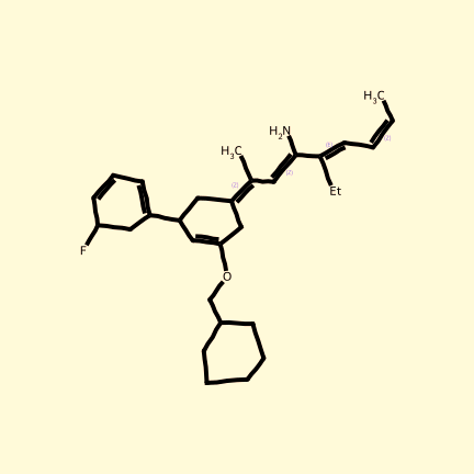 C\C=C/C=C(CC)/C(N)=C/C(C)=C1\CC(OCC2CCCCC2)=CC(C2=CC=CC(F)C2)C1